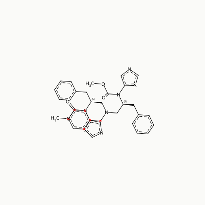 COC(=O)N(c1cncs1)[C@@H](Cc1ccccc1)CN(Cc1ccccc1)C[C@H](Cc1ccccc1)N(C(=O)OC)c1cncs1